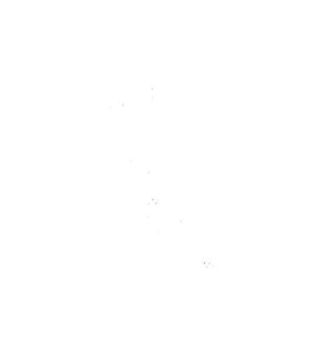 CSc1ccc(CNCCOc2ccc(Cl)c(Cl)c2)cc1